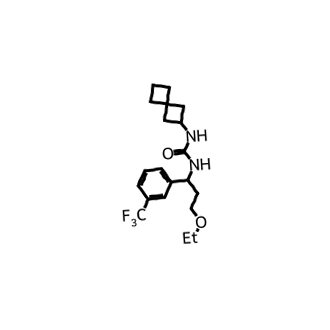 CCOCCC(NC(=O)NC1CC2(CCC2)C1)c1cccc(C(F)(F)F)c1